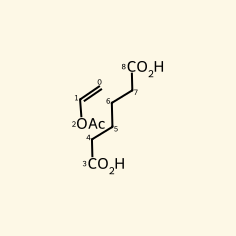 C=COC(C)=O.O=C(O)CCCCC(=O)O